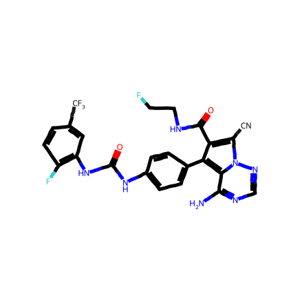 N#Cc1c(C(=O)NCCF)c(-c2ccc(NC(=O)Nc3cc(C(F)(F)F)ccc3F)cc2)c2c(N)ncnn12